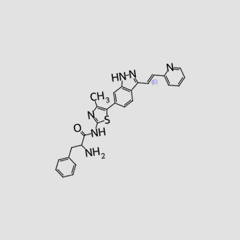 Cc1nc(NC(=O)C(N)Cc2ccccc2)sc1-c1ccc2c(/C=C/c3ccccn3)n[nH]c2c1